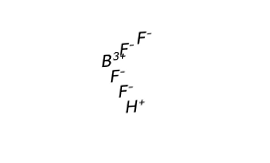 [B+3].[F-].[F-].[F-].[F-].[H+]